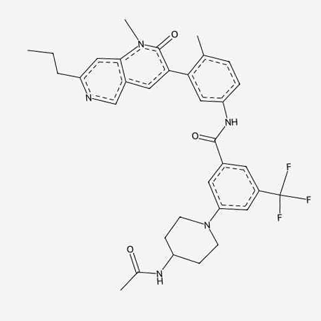 CCCc1cc2c(cn1)cc(-c1cc(NC(=O)c3cc(N4CCC(NC(C)=O)CC4)cc(C(F)(F)F)c3)ccc1C)c(=O)n2C